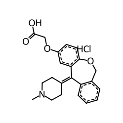 CN1CCC(=C2c3ccccc3COc3ccc(OCC(=O)O)cc32)CC1.Cl